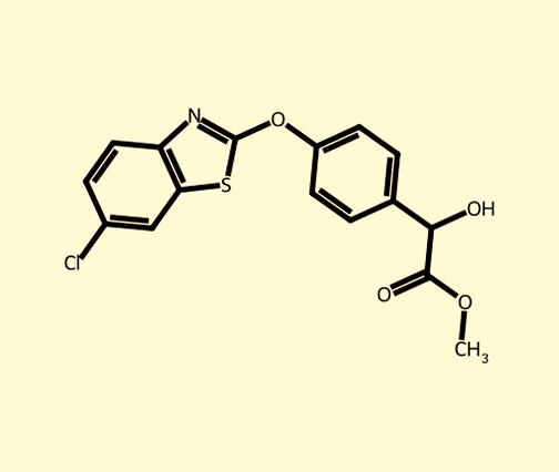 COC(=O)C(O)c1ccc(Oc2nc3ccc(Cl)cc3s2)cc1